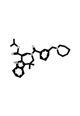 CC(C)OC(=O)C1=CN(C(=O)c2cccc(CN3CCCCCC3)c2)CC(C)(C)c2c1[nH]c1ccccc21